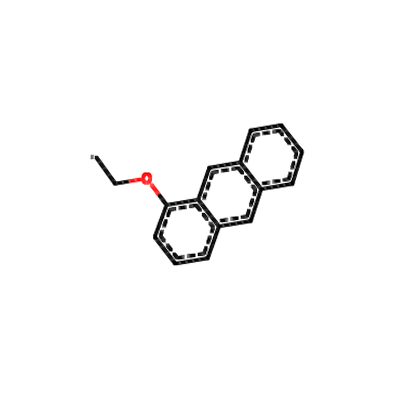 [CH2]COc1cccc2cc3ccccc3cc12